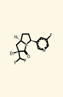 CC[C@@]1(C(F)F)C[C@H]2CC[C@@H](c3cncc(F)c3)N2C1=O